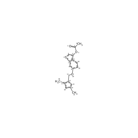 CC(=O)Oc1csc2cc(OCc3cc(C)nn3C)ccc12